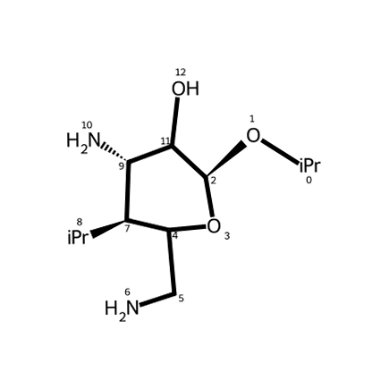 CC(C)O[C@H]1OC(CN)[C@@H](C(C)C)[C@H](N)C1O